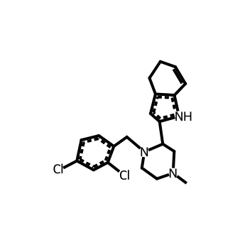 CN1CCN(Cc2ccc(Cl)cc2Cl)C(c2cc3c([nH]2)C=CCC3)C1